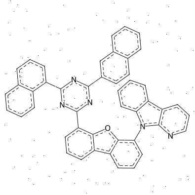 c1ccc2cc(-c3nc(-c4cccc5ccccc45)nc(-c4cccc5c4oc4c(-n6c7ccccc7c7cccnc76)cccc45)n3)ccc2c1